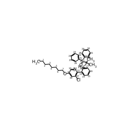 CCCCCCCCOc1cnc(-c2ccccc2O[Si](c2ccccc2)(c2ccccc2)C(C)(C)C)c(Cl)c1